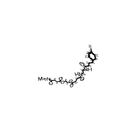 CNC(=O)CCC(=O)OCCOC(=O)CCC(=O)NCCNC(=O)CCCc1ccc(C)cc1